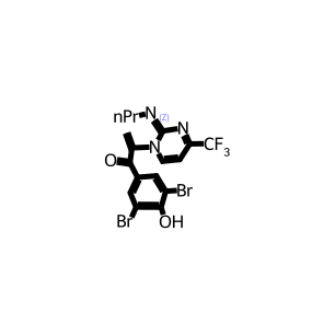 C=C(C(=O)c1cc(Br)c(O)c(Br)c1)n1ccc(C(F)(F)F)n/c1=N/CCC